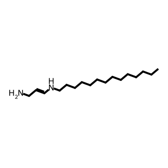 CCCCCCCCCCCCCCNC=CCN